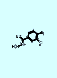 CCC(NN)c1ccc(Br)c(Cl)c1